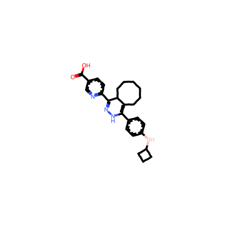 O=C(O)c1ccc(C2=NNC(c3ccc(BC4CCC4)cc3)=C3CCCCCCC23)nc1